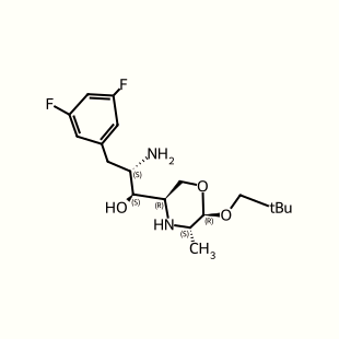 C[C@@H]1N[C@@H]([C@@H](O)[C@@H](N)Cc2cc(F)cc(F)c2)CO[C@H]1OCC(C)(C)C